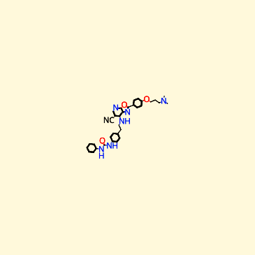 CN(C)CCCOc1ccc(-c2nc3c(NCCc4ccc(NC(=O)Nc5ccccc5)cc4)c(C#N)cnc3o2)cc1